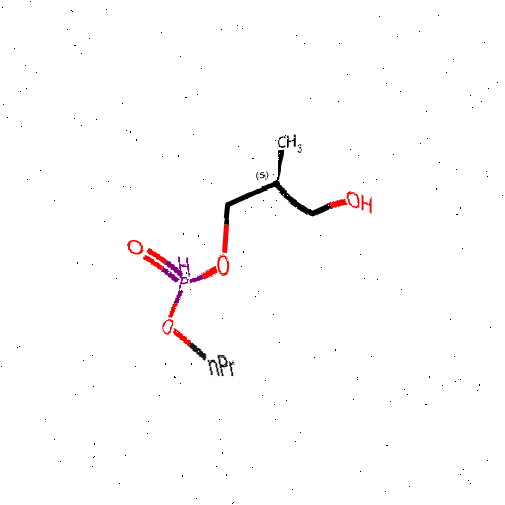 CCCO[PH](=O)OC[C@@H](C)CO